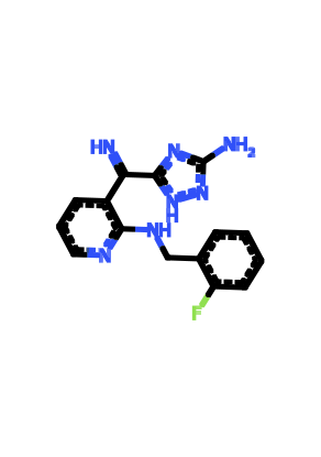 N=C(c1nc(N)n[nH]1)c1cccnc1NCc1ccccc1F